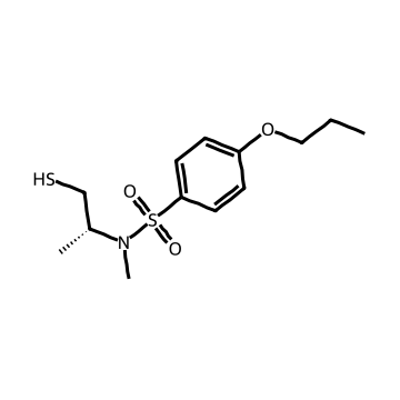 CCCOc1ccc(S(=O)(=O)N(C)[C@H](C)CS)cc1